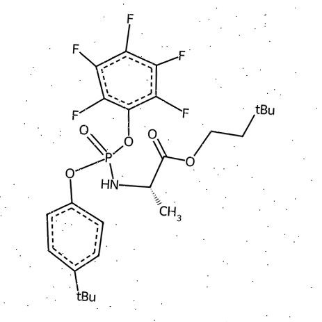 C[C@H](NP(=O)(Oc1ccc(C(C)(C)C)cc1)Oc1c(F)c(F)c(F)c(F)c1F)C(=O)OCCC(C)(C)C